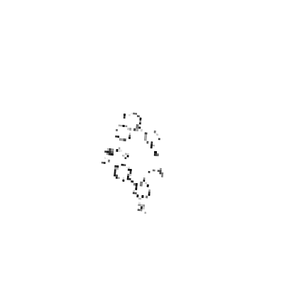 CC(=O)N1CCC(N2CCOc3ccc(C(=O)N[C@H](C)c4ccc(-c5cc(C(F)(F)F)ccc5CN)cc4)cc32)C1